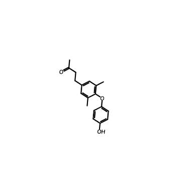 CC(=O)CCc1cc(C)c(Oc2ccc(O)cc2)c(C)c1